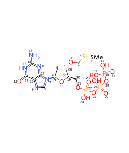 CSSCO[C@H]1C[C@H](n2cnc3c(=O)[nH]c(N)nc32)O[C@@H]1COP(=O)(O)OP(=O)(O)OP(=O)(O)O